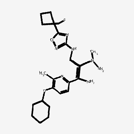 Cc1nc(/C(N)=C(\CNc2noc(C3(F)CCC3)n2)N(C)N)ccc1OC1CCCCC1